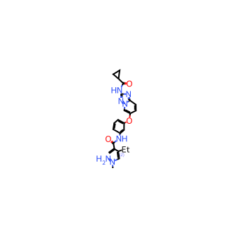 C=C(C(=O)Nc1cccc(Oc2ccc3nc(NC(=O)C4CC4)nn3c2)c1)/C(=C\N(C)N)CC